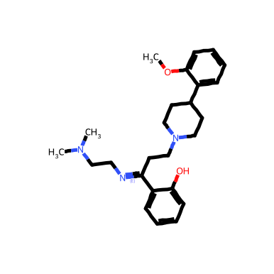 COc1ccccc1C1CCN(CC/C(=N\CCN(C)C)c2ccccc2O)CC1